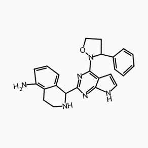 Nc1cccc2c1CCNC2c1nc(N2OCCC2c2ccccc2)c2cc[nH]c2n1